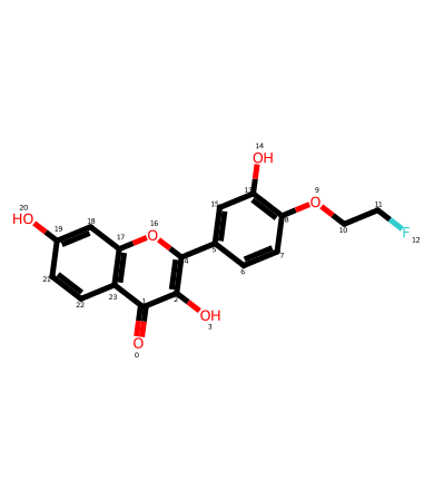 O=c1c(O)c(-c2ccc(OCCF)c(O)c2)oc2cc(O)ccc12